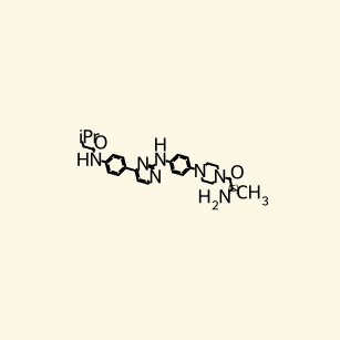 CC(C)CC(=O)Nc1ccc(-c2ccnc(Nc3ccc(N4CCN(C(=O)[C@H](C)N)CC4)cc3)n2)cc1